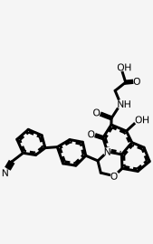 N#Cc1cccc(-c2ccc(C3COc4cccc5c(O)c(C(=O)NCC(=O)O)c(=O)n3c45)cc2)c1